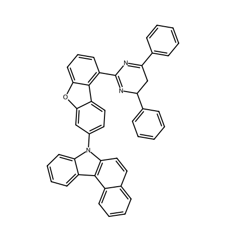 c1ccc(C2=NC(c3cccc4oc5cc(-n6c7ccccc7c7c8ccccc8ccc76)ccc5c34)=NC(c3ccccc3)C2)cc1